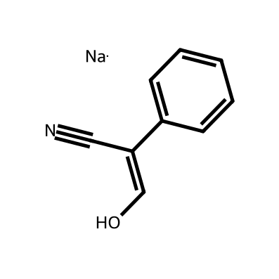 N#CC(=CO)c1ccccc1.[Na]